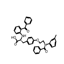 Cc1cccc(N(CCOc2ccc(C[C@H](Nc3ccccc3C(=O)c3ccccc3)C(=O)O)cc2)C(=O)c2ccccc2)c1